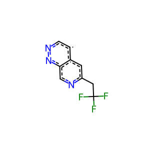 FC(F)(F)Cc1cc2[c]cnnc2cn1